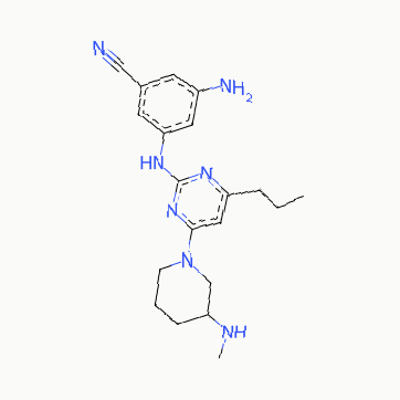 CCCc1cc(N2CCCC(NC)C2)nc(Nc2cc(N)cc(C#N)c2)n1